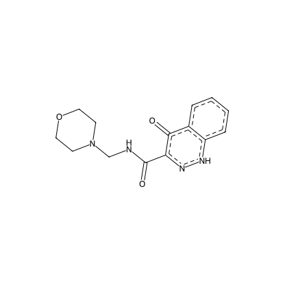 O=C(NCN1CCOCC1)c1n[nH]c2ccccc2c1=O